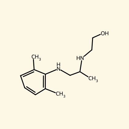 Cc1cccc(C)c1NCC(C)NCCO